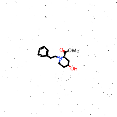 COC(=O)C1C[C@@H](O)CCN1CCc1ccccc1